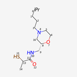 CC(C)CCCN1CCO[C@H](CNC(=O)C(C)S)C1